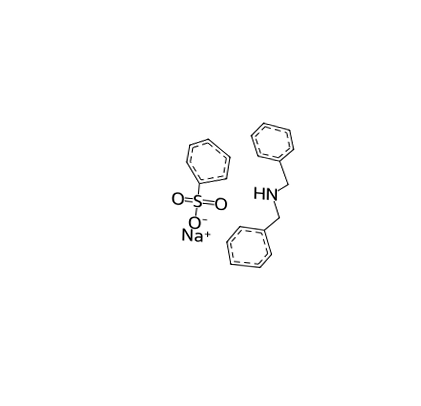 O=S(=O)([O-])c1ccccc1.[Na+].c1ccc(CNCc2ccccc2)cc1